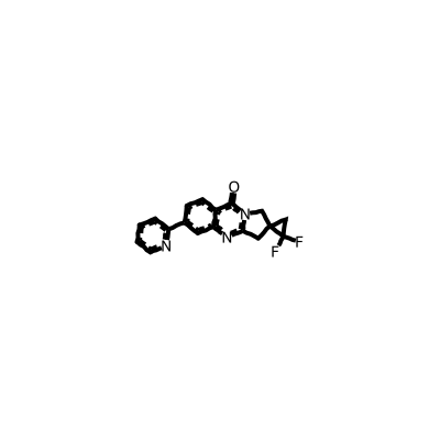 O=c1c2ccc(-c3ccccn3)cc2nc2n1CC1(C2)CC1(F)F